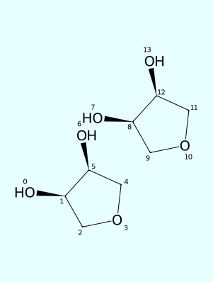 O[C@@H]1COC[C@@H]1O.O[C@@H]1COC[C@@H]1O